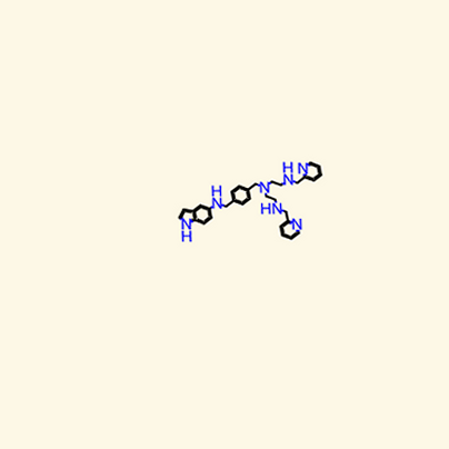 c1ccc(CNCCN(CCNCc2ccccn2)Cc2ccc(CNc3ccc4[nH]ccc4c3)cc2)nc1